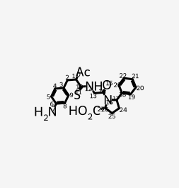 CC(=O)C(Cc1ccc(N)cc1)C(=S)NCC(=O)N1C(c2ccccc2)CC[C@H]1C(=O)O